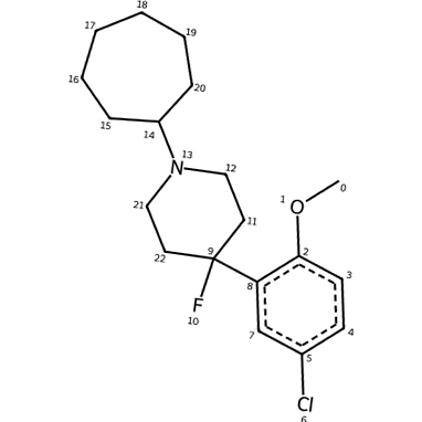 COc1ccc(Cl)cc1C1(F)CCN(C2CCCCCC2)CC1